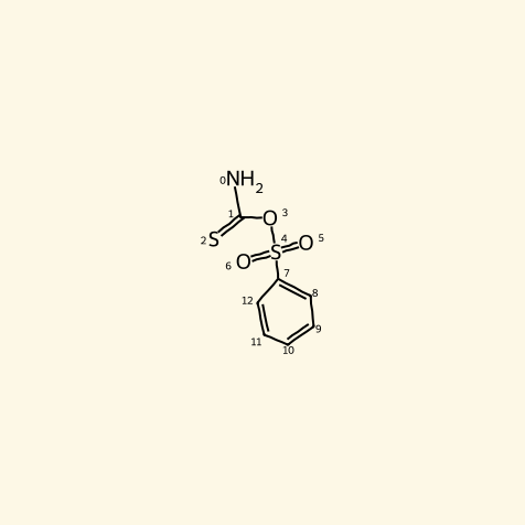 NC(=S)OS(=O)(=O)c1ccccc1